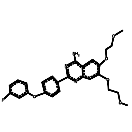 COCCOc1cc2nc(-c3ccc(Oc4cccc(F)c4)cc3)nc(N)c2cc1OCCOC